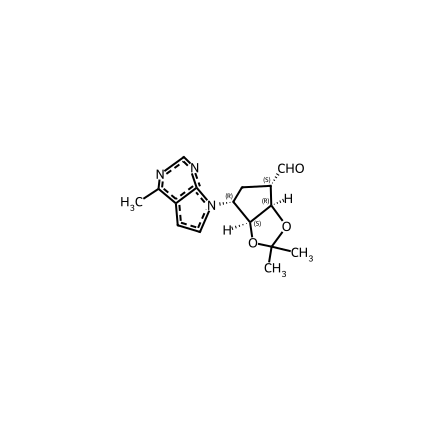 Cc1ncnc2c1ccn2[C@@H]1C[C@H](C=O)[C@H]2OC(C)(C)O[C@H]21